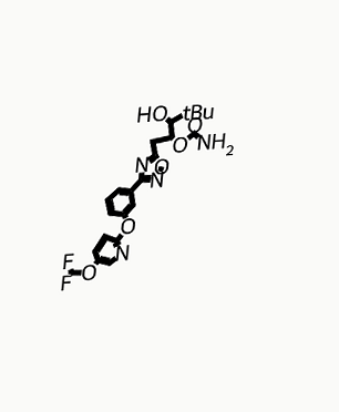 CC(C)(C)C(O)C(Cc1nc(-c2cccc(Oc3ccc(OC(F)F)cn3)c2)no1)OC(N)=O